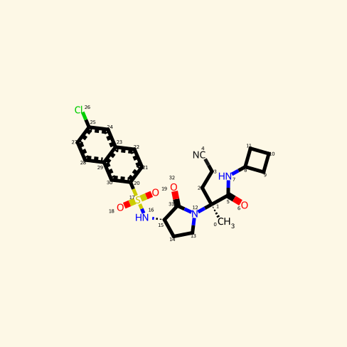 C[C@](CCC#N)(C(=O)NC1CCC1)N1CC[C@H](NS(=O)(=O)c2ccc3cc(Cl)ccc3c2)C1=O